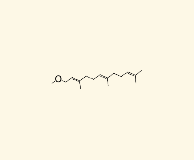 COC/C=C(\C)CC/C=C(\C)CCC=C(C)C